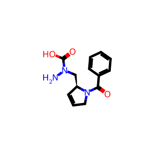 NN(C[C@@H]1C=CCN1C(=O)c1ccccc1)C(=O)O